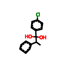 CC(c1ccccc1)C(O)(O)c1ccc(Cl)cc1